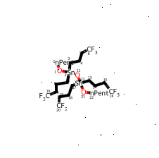 CCCCC[O][Sn]([CH2]CCC(F)(F)F)([CH2]CCC(F)(F)F)[O][Sn]([CH2]CCC(F)(F)F)([CH2]CCC(F)(F)F)[O]CCCCC